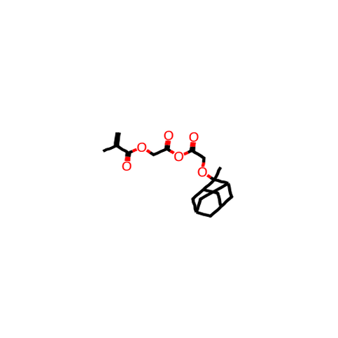 C=C(C)C(=O)OCC(=O)OC(=O)COC1(C)C2CC3CC(C2)CC1C3